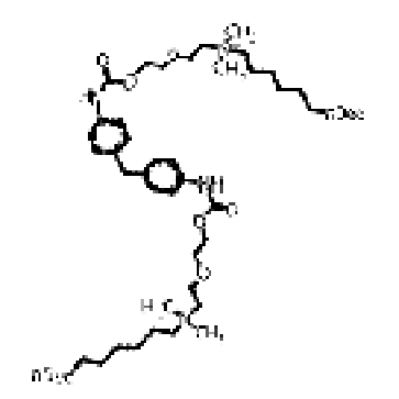 CCCCCCCCCCCCCCCC[N+](C)(C)CCOCCOC(=O)Nc1ccc(Cc2ccc(NC(=O)OCCOCC[N+](C)(C)CCCCCCCCCCCCCCCC)cc2)cc1